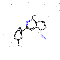 COc1nc(-c2cccc(C(F)(F)F)c2)cc2c(N)cccc12